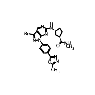 CNC(=O)[C@@H]1CC[C@@H](Nc2ncc3c(Br)nn(-c4ccc(-c5nnc(C)o5)cc4)c3n2)C1